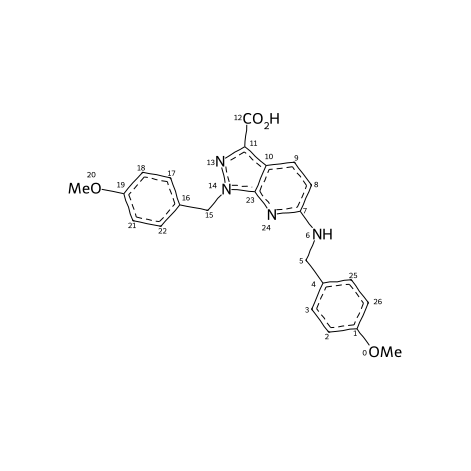 COc1ccc(CNc2ccc3c(C(=O)O)nn(Cc4ccc(OC)cc4)c3n2)cc1